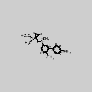 Cc1ncc(N(C)CC2(N(C)C(=O)O)CC2)cc1-c1ccc(N)cc1